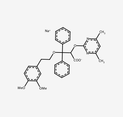 COc1ccc(CCOC(c2ccccc2)(c2ccccc2)C(Oc2nc(C)cc(C)n2)C(=O)[O-])cc1OC.[Na+]